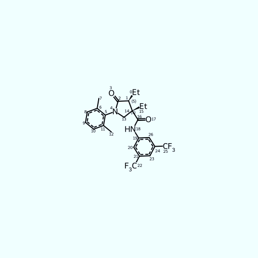 CC[C@@H]1C(=O)N(c2c(C)cccc2C)C[C@@]1(CC)C(=O)Nc1cc(C(F)(F)F)cc(C(F)(F)F)c1